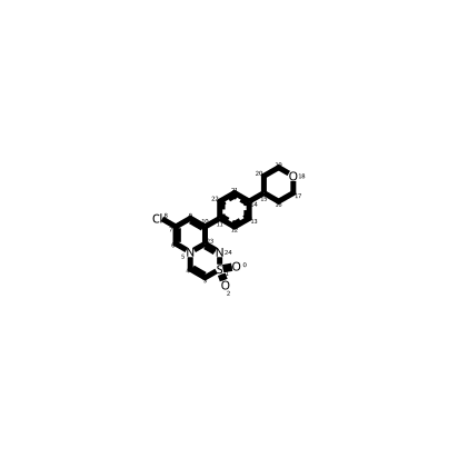 O=S1(=O)C=CN2C=C(Cl)C=C(c3ccc(C4CCOCC4)cc3)C2=N1